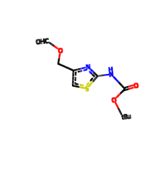 CC(C)(C)OC(=O)Nc1nc(COC=O)cs1